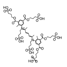 C\C(=C/C=C/C(C)=[N+](\CCCS(=O)(=O)O)c1cc(C(=O)OCCCS(=O)(=O)O)cc(C(=O)OCCCS(=O)(=O)O)c1C)N(CCCS(=O)(=O)O)c1cc(C(=O)OCCCS(=O)(=O)O)cc(C(=O)OCCCS(=O)(=O)O)c1C